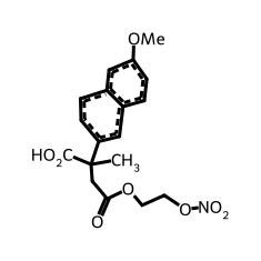 COc1ccc2cc(C(C)(CC(=O)OCCO[N+](=O)[O-])C(=O)O)ccc2c1